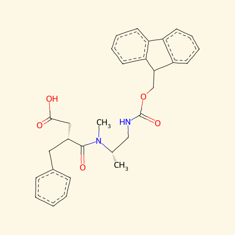 C[C@@H](CNC(=O)OCC1c2ccccc2-c2ccccc21)N(C)C(=O)[C@@H](CC(=O)O)Cc1ccccc1